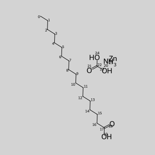 CCCCCCCCCCCCCCCCCC(=O)O.N.O=C(O)O.[Zn]